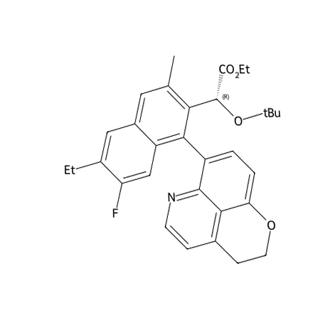 CCOC(=O)[C@H](OC(C)(C)C)c1c(C)cc2cc(CC)c(F)cc2c1-c1ccc2c3c(ccnc13)CCO2